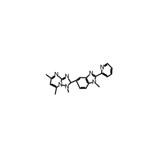 CC1=CC(C)=NC2=NC(c3ccc4c(c3)nc(-c3ccccn3)n4C)N(C)N12